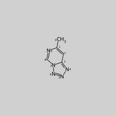 Cc1cc2nnnn2cn1